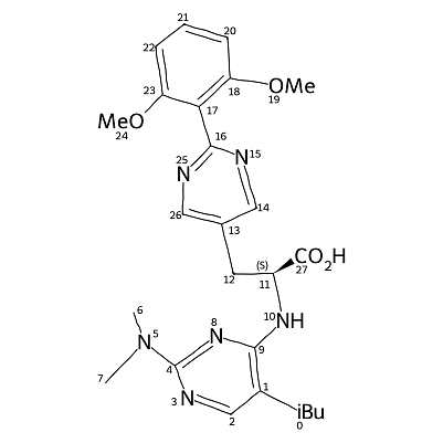 CCC(C)c1cnc(N(C)C)nc1N[C@@H](Cc1cnc(-c2c(OC)cccc2OC)nc1)C(=O)O